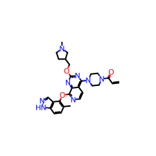 C=CC(=O)N1CCN(c2nc(OCC3CCN(C)C3)nc3c(Oc4c(C)ccc5[nH]ncc45)nccc23)CC1